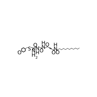 CCCCCCCCCCCC(=O)NC(=O)C#CC(=O)CNC(=O)CNC(=O)[C@@H](N)CSCc1ccc(OC)cc1